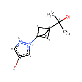 CC(C)(O)C12CC(n3cc(Br)cn3)(C1)C2